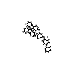 Cc1cc(C2C=CC=CC2)ccc1Nc1ccc(-c2ccc3c(c2)C2(c4ccccc4-c4ccccc42)c2ccccc2-3)cc1